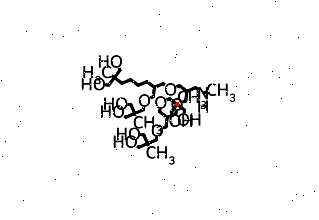 CNCC(COCC(CCCCC(C)(CO)CO)COCC(C)(CO)CO)COCC(COCC(C)(CO)CO)COCC(C)(CO)CO